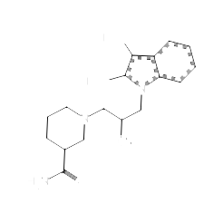 Cc1c(C)n(CC(C#N)CN2CCCC(C(N)=O)C2)c2ccccc12